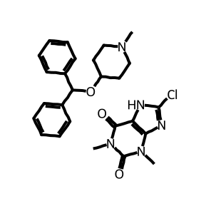 CN1CCC(OC(c2ccccc2)c2ccccc2)CC1.Cn1c(=O)c2[nH]c(Cl)nc2n(C)c1=O